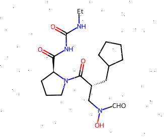 CCNC(=O)NC(=O)[C@@H]1CCCN1C(=O)[C@H](CC1CCCC1)CN(O)C=O